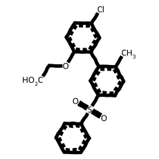 Cc1ccc(S(=O)(=O)c2ccccc2)cc1-c1cc(Cl)ccc1OCC(=O)O